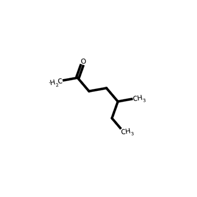 [CH2]C(=O)CCC(C)CC